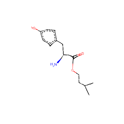 CC(C)CCOC(=O)[C@@H](N)Cc1ccc(O)cc1